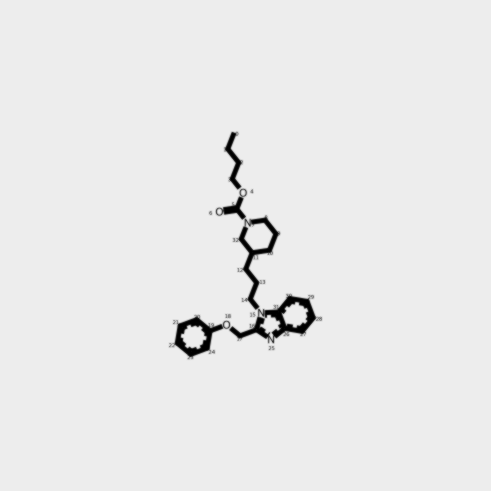 CCCCOC(=O)N1CCCC(CCCn2c(COc3ccccc3)nc3ccccc32)C1